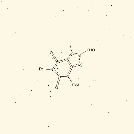 CCCCn1c(=O)n(CC)c(=O)c2c(C)c(C=O)sc21